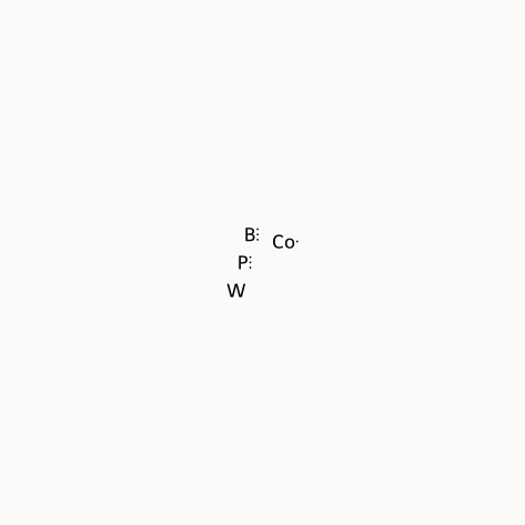 [B].[Co].[P].[W]